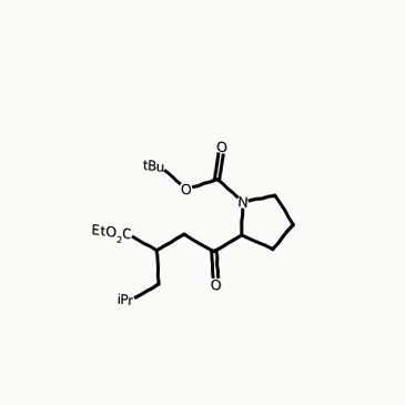 CCOC(=O)C(CC(=O)C1CCCN1C(=O)OC(C)(C)C)CC(C)C